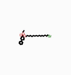 CCOC(=O)C1(OCCCCCCCCCCCCCCCCBr)C=CC(c2ccccc2)C=C1